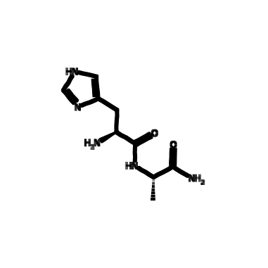 C[C@H](NC(=O)[C@@H](N)Cc1c[nH]cn1)C(N)=O